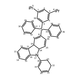 CC(C)c1cc(C(C)C)cc(S(C2=CC3c4ccccc4N(C4=CC=CCC4)C3C=C2)(c2ccccc2)c2ccccc2)c1